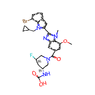 COc1cc(C(=O)N2C[C@H](F)C[C@@H](NC(=O)O)C2)cc2nc(-c3cc4cccc(Br)c4n3CC3CC3)n(C)c12